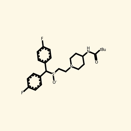 CC(C)(C)C(=O)NC1CCN(CC[S+]([O-])C(c2ccc(F)cc2)c2ccc(F)cc2)CC1